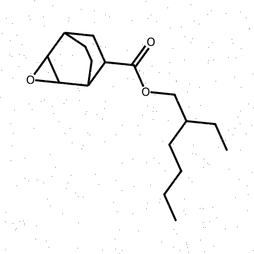 CCCCC(CC)COC(=O)C1CC2CCC1C1OC21